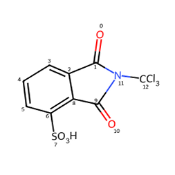 O=C1c2cccc(S(=O)(=O)O)c2C(=O)N1C(Cl)(Cl)Cl